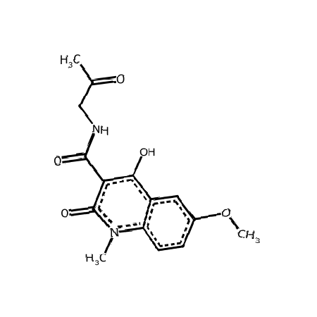 COc1ccc2c(c1)c(O)c(C(=O)NCC(C)=O)c(=O)n2C